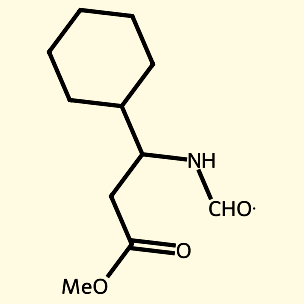 COC(=O)CC(N[C]=O)C1CCCCC1